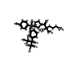 CCCCC(C)(N)C(=O)N1CC[C@](c2ccc(C(F)(C(F)(F)F)C(F)(F)F)cc2)(S(=O)(=O)c2ccc(F)cc2)C1